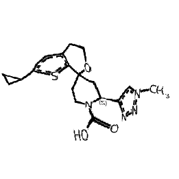 Cn1cc([C@@H]2CC3(CCN2C(=O)O)OCCc2cc(C4CC4)sc23)nn1